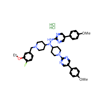 CCOc1cc(CN2CCC(N(Nc3ncc(-c4ccc(OC)cc4)cn3)C3CCN(c4ncc(-c5ccc(OC)cc5)cn4)CC3)CC2)ccc1F.Cl.Cl